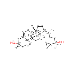 C[C@H](CC[C@@](C)(O)C1CC1)C1CC[C@H]2[C@@H]3CC=C4C[C@@](C)(O)CC[C@]4(C)[C@H]3CC[C@]12C